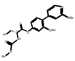 CNc1cc(-c2ccc(NC(=O)[C@@H](CC(C)C)NC(=O)OC(C)(C)C)cc2OC)ccn1